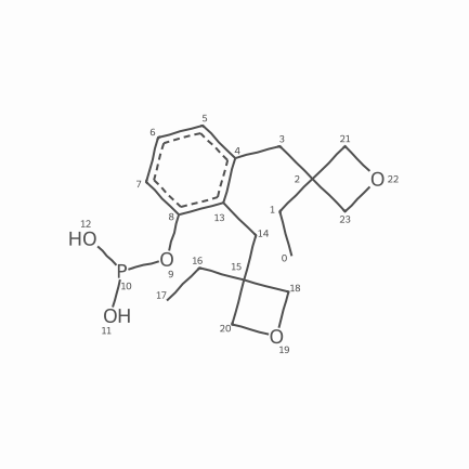 CCC1(Cc2cccc(OP(O)O)c2CC2(CC)COC2)COC1